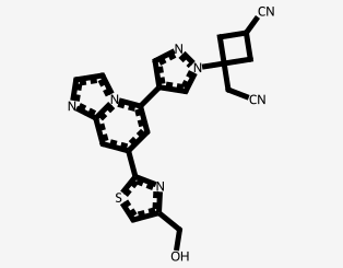 N#CCC1(n2cc(-c3cc(-c4nc(CO)cs4)cc4nccn34)cn2)CC(C#N)C1